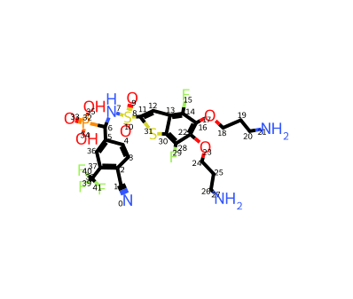 N#Cc1ccc(C(NS(=O)(=O)c2cc3c(F)c(OCCCN)c(OCCCN)c(F)c3s2)P(=O)(O)O)cc1C(F)(F)F